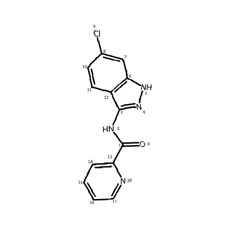 O=C(Nc1n[nH]c2cc(Cl)ccc12)c1ccccn1